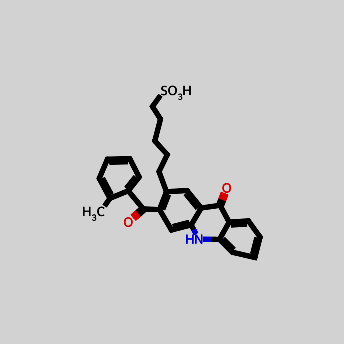 Cc1ccccc1C(=O)c1cc2[nH]c3ccccc3c(=O)c2cc1CCCCCS(=O)(=O)O